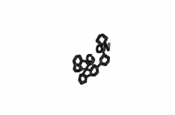 c1cc(-c2ccc3c(c2)C2(c4ccccc4-3)c3ccccc3-c3cccc4cccc2c34)cc(-c2nc3ccccc3o2)c1